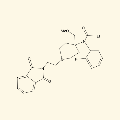 CCC(=O)N(c1ccccc1F)C1(COC)CCN(CCN2C(=O)c3ccccc3C2=O)CC1